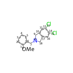 COc1ccccc1CN1Cc2cc(Cl)c(Cl)cc2C1